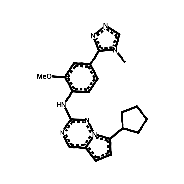 COc1cc(-c2nncn2C)ccc1Nc1ncc2ccc(C3CCCC3)n2n1